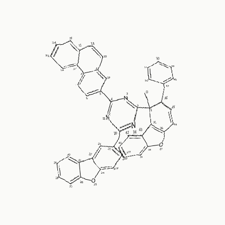 CC1(c2nc(-c3ccc4c(ccc5ccccc54)c3)nc(-c3ccc4oc5ccccc5c4c3)n2)c2c(oc3ccccc23)C=CC1c1ccccc1